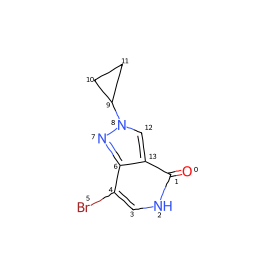 O=c1[nH]cc(Br)c2nn(C3CC3)cc12